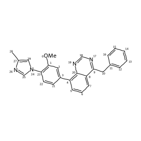 COc1cc(-c2cccc3c(Cc4ccccc4)ncnc23)ccc1-n1cnc(C)c1